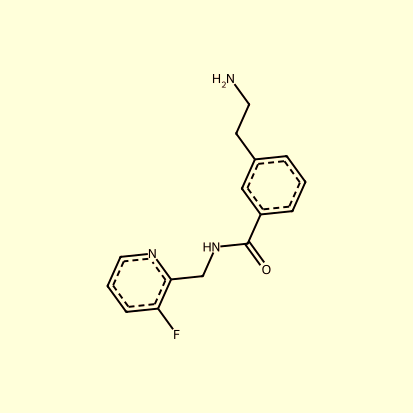 NCCc1cccc(C(=O)NCc2ncccc2F)c1